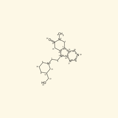 CN1Cc2c(n(CCN3CCCC(CO)C3)c3ncncc23)CC1=O